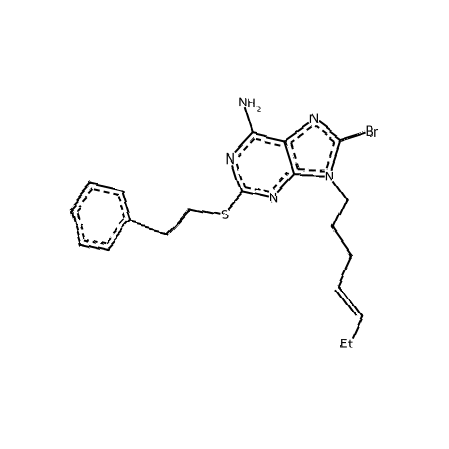 CCC=CCCCn1c(Br)nc2c(N)nc(SCCc3ccccc3)nc21